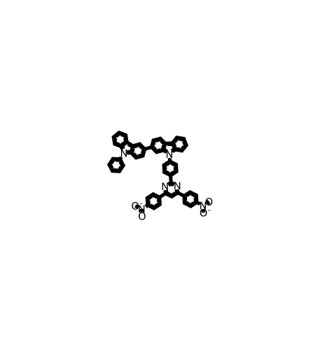 O=[N+]([O-])c1ccc(-c2cc(-c3ccc([N+](=O)[O-])cc3)nc(-c3ccc(-n4c5ccccc5c5ccc(-c6ccc7c(c6)c6ccccc6n7-c6ccccc6)cc54)cc3)n2)cc1